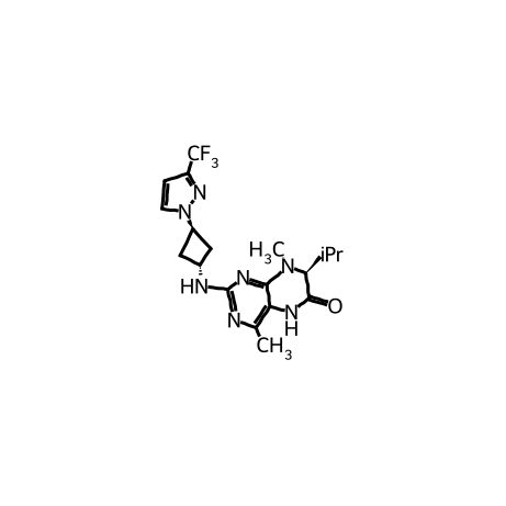 Cc1nc(N[C@H]2C[C@H](n3ccc(C(F)(F)F)n3)C2)nc2c1NC(=O)[C@H](C(C)C)N2C